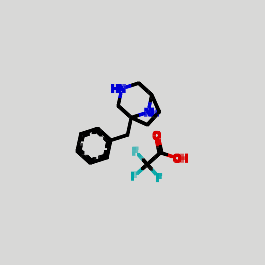 O=C(O)C(F)(F)F.c1ccc(CC23CCC(CNC2)N3)cc1